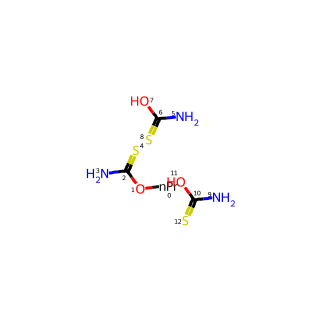 CCCOC(N)=S.NC(O)=S.NC(O)=S